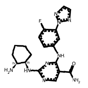 NC(=O)c1cnc(N[C@@H]2CCCC[C@@H]2N)nc1Nc1ccc(F)c(-n2nccn2)c1